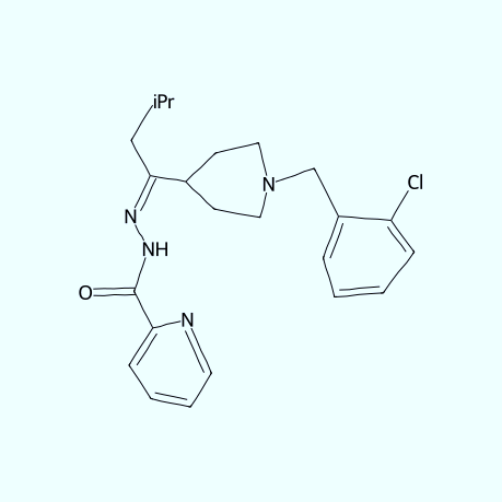 CC(C)CC(=NNC(=O)c1ccccn1)C1CCN(Cc2ccccc2Cl)CC1